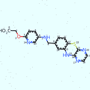 O=C(O)COc1ccc(NCc2ccc3c(c2)Nc2nccnc2S3)cn1